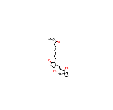 CCCCC1(C(O)C=C[C@H]2[C@H](O)CC(=O)[C@@H]2CCCCCCC(=O)OC)CCC1